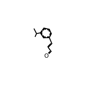 CC(C)c1cccc(C=CC=O)c1